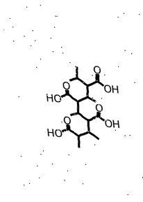 CC(C)C(C(=O)O)C(C)C(C(=O)O)C(C)C(C(=O)O)C(C)C(C)C(=O)O